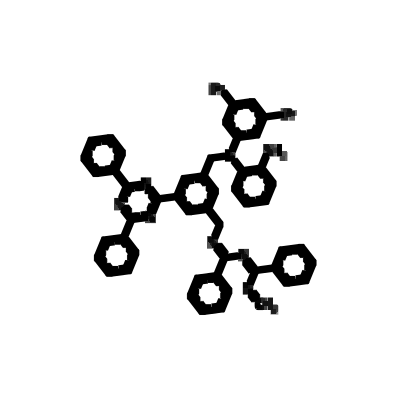 C=N/C(=N\C(=N/Cc1cc(CN(c2cc(C(C)C)cc(C(C)C)c2)c2ccccc2N)cc(-c2nc(-c3ccccc3)nc(-c3ccccc3)n2)c1)c1ccccc1)c1ccccc1